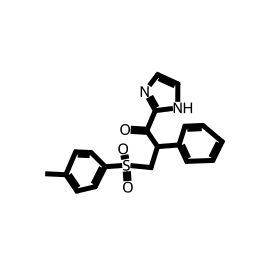 Cc1ccc(S(=O)(=O)CC(C(=O)c2ncc[nH]2)c2ccccc2)cc1